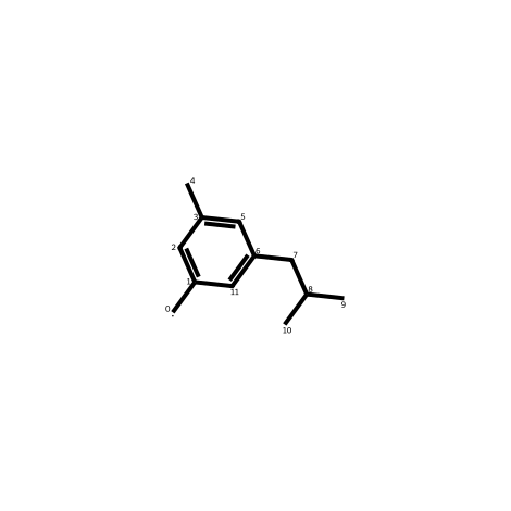 [CH2]c1cc(C)cc(CC(C)C)c1